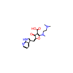 CN(C)CCN(C)C1=C(C(=O)O)C(=O)C(=Cc2c[nH]c3ncccc23)O1